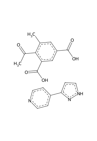 CC(=O)c1c(C)cc(C(=O)O)cc1C(=O)O.c1cc(-c2cc[nH]n2)ccn1